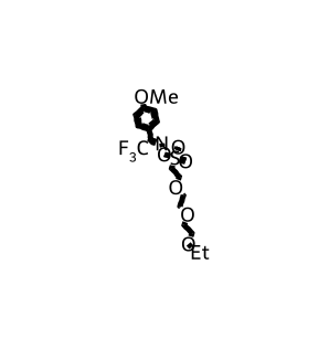 CCOCCOCCOCCS(=O)(=O)ON=C(c1ccc(OC)cc1)C(F)(F)F